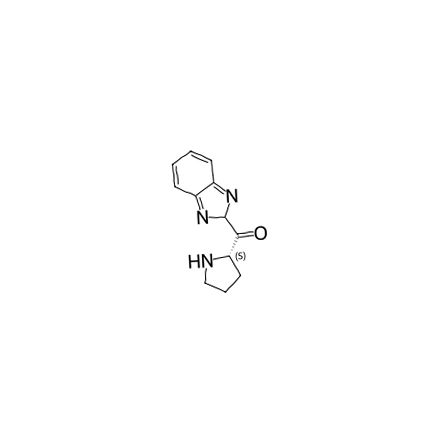 O=C(C1N=c2ccccc2=N1)[C@@H]1CCCN1